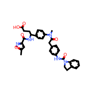 Cc1cc(C(=O)NC(CCC(=O)O)c2ccc(N(C)C(=O)Cc3ccc(NC(=O)N4CCc5ccccc54)cc3)cc2)no1